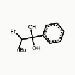 CCCCC(CC)C(O)(O)c1ccccc1